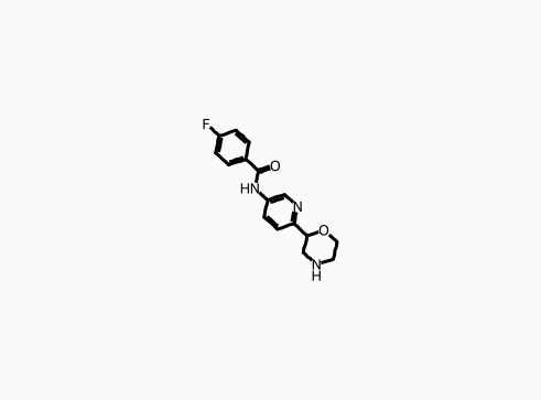 O=C(Nc1ccc(C2CNCCO2)nc1)c1ccc(F)cc1